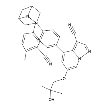 CC(C)(O)COc1cc(-c2ccc(N3CC4CC(C3)N4Cc3ccc(F)c(C#N)c3)nc2)c2c(C#N)cnn2c1